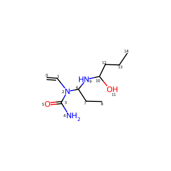 C=CN(C(N)=O)C(CC)NC(O)CCC